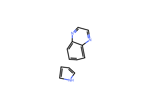 c1cc[nH]c1.c1ccc2nccnc2c1